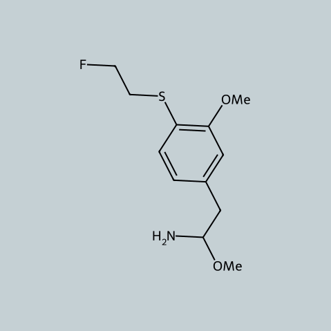 COc1cc(CC(N)OC)ccc1SCCF